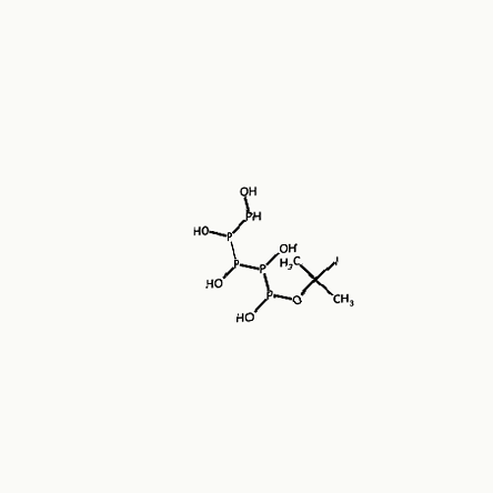 CC(C)(I)OP(O)P(O)P(O)P(O)PO